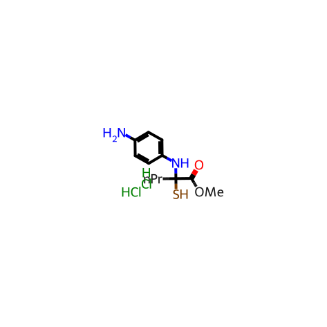 CCCC(S)(Nc1ccc(N)cc1)C(=O)OC.Cl.Cl